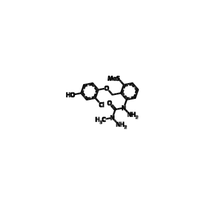 CSc1cccc(N(N)C(=O)N(C)N)c1COc1ccc(O)cc1Cl